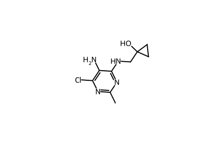 Cc1nc(Cl)c(N)c(NCC2(O)CC2)n1